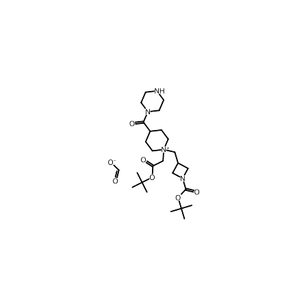 CC(C)(C)OC(=O)C[N+]1(CC2CN(C(=O)OC(C)(C)C)C2)CCC(C(=O)N2CCNCC2)CC1.O=C[O-]